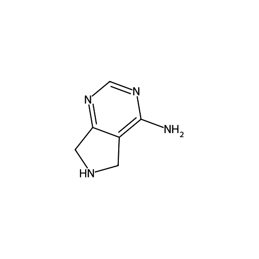 Nc1ncnc2c1CNC2